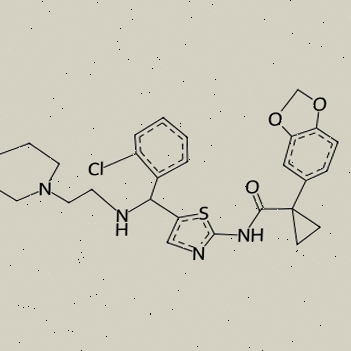 O=C(Nc1ncc(C(NCCN2CCCCC2)c2ccccc2Cl)s1)C1(c2ccc3c(c2)OCO3)CC1